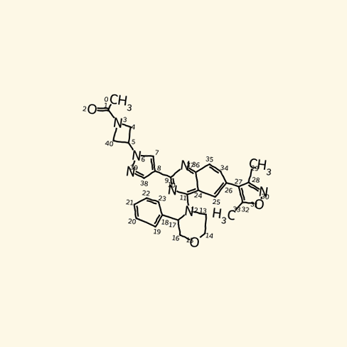 CC(=O)N1CC(n2cc(-c3nc(N4CCOCC4c4ccccc4)c4cc(-c5c(C)noc5C)ccc4n3)cn2)C1